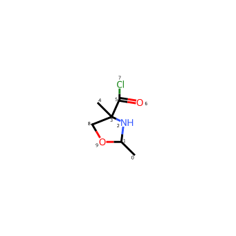 CC1NC(C)(C(=O)Cl)CO1